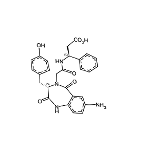 Nc1ccc2c(c1)C(=O)N(CC(=O)N[C@@H](CC(=O)O)c1ccccc1)[C@@H](Cc1ccc(O)cc1)C(=O)N2